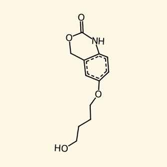 O=C1Nc2ccc(OCCCCO)cc2CO1